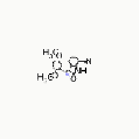 COc1ccc(OC)c(/C=C2/C(=O)Nc3c(C#N)cccc32)c1